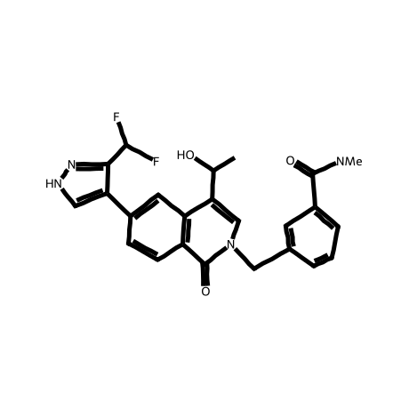 CNC(=O)c1cccc(Cn2cc(C(C)O)c3cc(-c4c[nH]nc4C(F)F)ccc3c2=O)c1